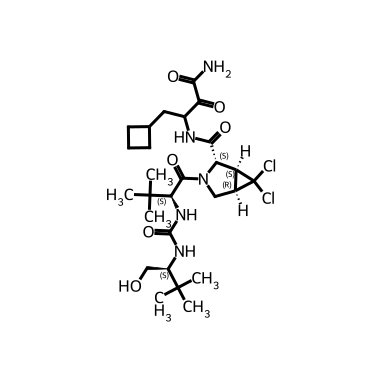 CC(C)(C)[C@H](NC(=O)N[C@H](CO)C(C)(C)C)C(=O)N1C[C@H]2[C@@H]([C@H]1C(=O)NC(CC1CCC1)C(=O)C(N)=O)C2(Cl)Cl